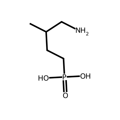 CC(CN)CCP(=O)(O)O